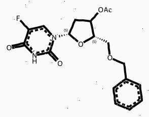 CC(=O)OC1C[C@@H](n2cc(F)c(=O)[nH]c2=O)O[C@H]1COCc1ccccc1